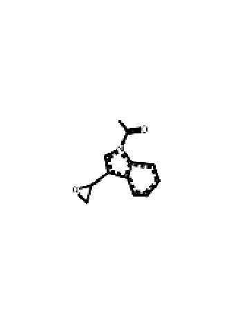 CC(=O)n1cc(C2CO2)c2ccccc21